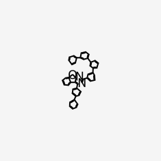 c1ccc(-c2ccc(-c3nc(-c4cccc(-c5cccc(-c6cccc(-c7ccccc7)c6)c5)c4)nc4oc5ccccc5c34)cc2)cc1